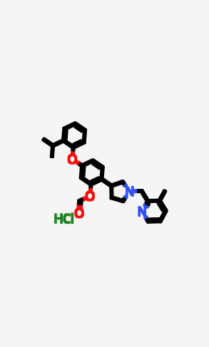 Cc1cccnc1CN1CCC(c2ccc(Oc3ccccc3C(C)C)cc2OC=O)C1.Cl